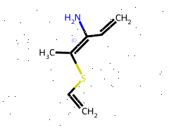 C=CS/C(C)=C(/N)C=C